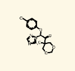 CC1(C(=O)C(Oc2ccc(Cl)cc2)n2cncn2)COCOC1